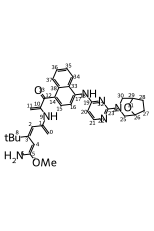 C=C(/C=C(\C=C(N)OC)C(C)(C)C)NC(=C)C(=O)c1ccc(Nc2ccnc(N3CC4CCC(C3)O4)n2)c2ccccc12